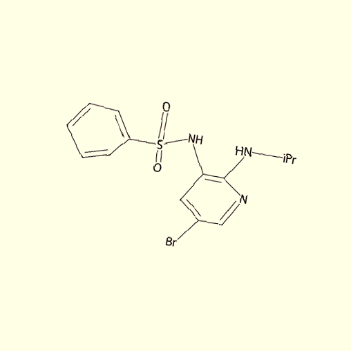 CC(C)Nc1ncc(Br)cc1NS(=O)(=O)c1ccccc1